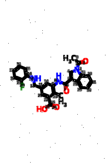 CC(=O)n1cc(C(=O)Nc2cc(CNc3ccccc3F)cc(C(=O)O)c2C)c2ccccc21